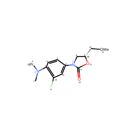 CCCN(C)c1ccc(N2C[C@H](COC)OC2=O)cc1F